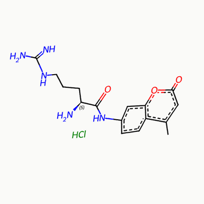 Cc1cc(=O)oc2cc(NC(=O)[C@@H](N)CCCNC(=N)N)ccc12.Cl